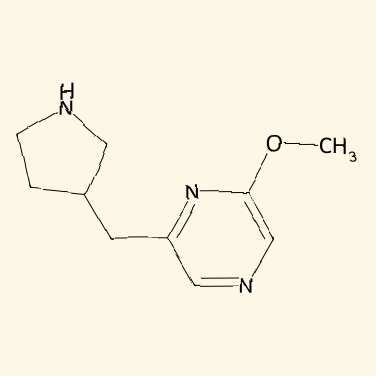 COc1cncc(CC2CCNC2)n1